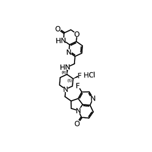 Cl.O=C1COc2ccc(CN[C@@H]3CCN(CC4Cn5c(=O)ccc6ncc(F)c4c65)C[C@@H]3F)nc2N1